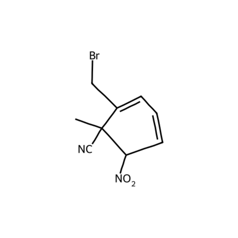 CC1(C#N)C(CBr)=CC=CC1[N+](=O)[O-]